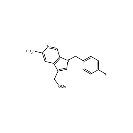 COCc1cn(Cc2ccc(F)cc2)c2cnc(C(=O)O)cc12